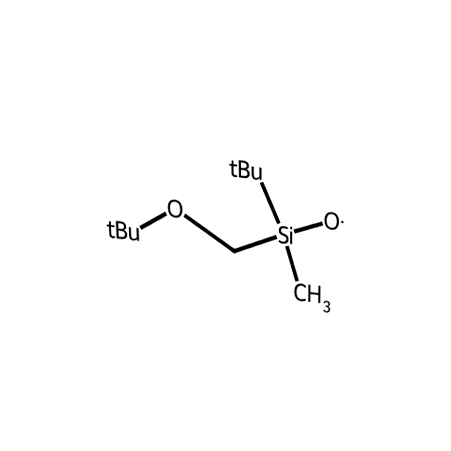 CC(C)(C)OC[Si](C)([O])C(C)(C)C